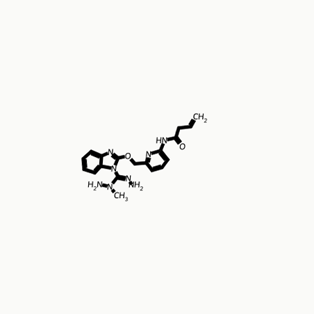 C=CCC(=O)Nc1cccc(COc2nc3ccccc3n2/C(=N/N)N(C)N)n1